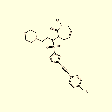 Cc1ccc(C#Cc2ccc(S(=O)(=O)N(CCN3CCOCC3)C3CC=CCN(C)C3=O)s2)cc1